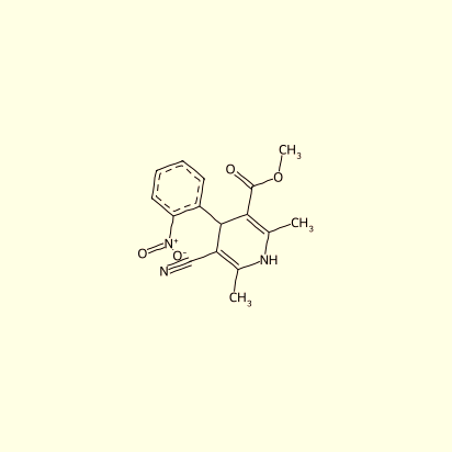 COC(=O)C1=C(C)NC(C)=C(C#N)C1c1ccccc1[N+](=O)[O-]